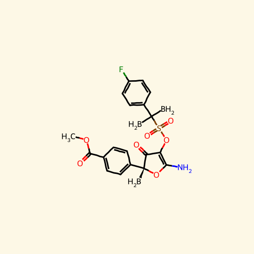 BC(B)(c1ccc(F)cc1)S(=O)(=O)OC1=C(N)O[C@](B)(c2ccc(C(=O)OC)cc2)C1=O